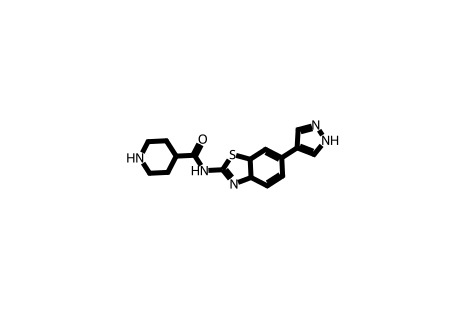 O=C(NC1=NC2C=CC(c3cn[nH]c3)=CC2S1)C1CCNCC1